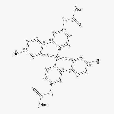 CCCCCCCCCC(=O)Oc1ccc(S(=O)(=O)c2ccc(OC(=O)CCCCCCCCC)cc2-c2ccc(O)cc2)c(-c2ccc(O)cc2)c1